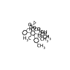 Cc1ccc(-c2c(C)c3c(c(C)c2[C@H](OC(C)(C)C)C(=O)O)N(S(=O)(=O)C2CC2)Cc2ccccc2-3)cc1